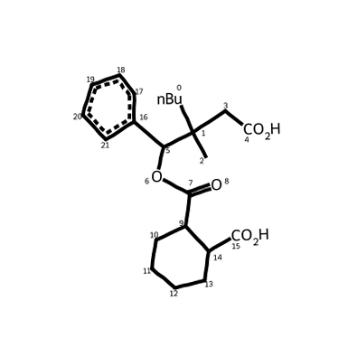 CCCCC(C)(CC(=O)O)C(OC(=O)C1CCCCC1C(=O)O)c1ccccc1